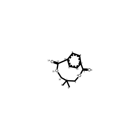 CC1(C)COC(=O)c2ccc(cc2)C(=O)OC1